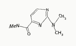 CNC(=O)c1ccnc(N(C)C)n1